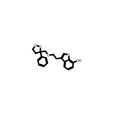 Oc1cccc2c(CCOCC3(c4ccccc4)CCOO3)coc12